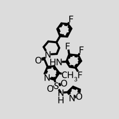 Cc1c(S(=O)(=O)Nc2ccon2)ncc(C(=O)N2CCC(c3ccc(F)cc3)CC2)c1Nc1cc(F)cc(F)c1F